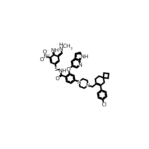 CN/C=C1/C=C(SNC(=O)c2ccc(N3CCN(CC4=C(c5ccc(Cl)cc5)CC5(CCC5)CC4)CC3)cc2Oc2cnc3[nH]ccc3c2)C=C([N+](=O)[O-])C1=N